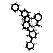 O=C1C2CC=CC=C2n2c3ccc(-c4ccccc4)cc3c3ccc4c(c32)N1C1C=CC(C2C=CC=CC2)=CC41